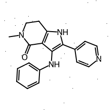 CN1CCc2[nH]c(-c3ccncc3)c(Nc3ccccc3)c2C1=O